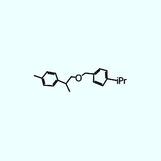 Cc1ccc(C(C)COCc2ccc(C(C)C)cc2)cc1